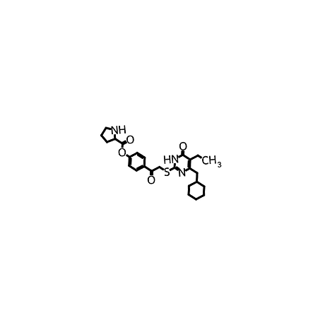 CCc1c(CC2CCCCC2)nc(SCC(=O)c2ccc(OC(=O)C3CCCN3)cc2)[nH]c1=O